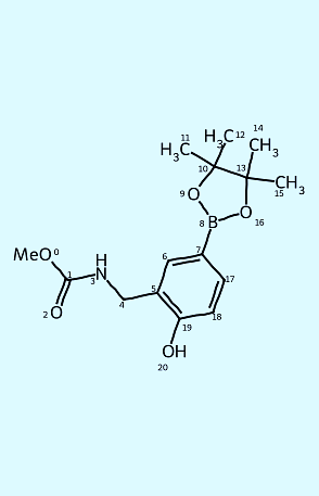 COC(=O)NCc1cc(B2OC(C)(C)C(C)(C)O2)ccc1O